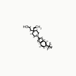 C=CC1(CCO)CCN(c2nc3ccc(C(F)(F)F)cc3s2)CC1